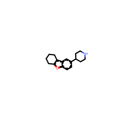 c1cc2oc3c(c2cc1C1CCNCC1)CCCC3